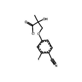 CC(O)(COc1ccc(C#N)c(F)c1)C(=O)Cl